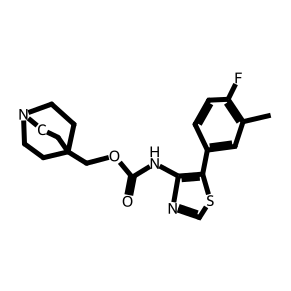 Cc1cc(-c2scnc2NC(=O)OCC23CCN(CC2)CC3)ccc1F